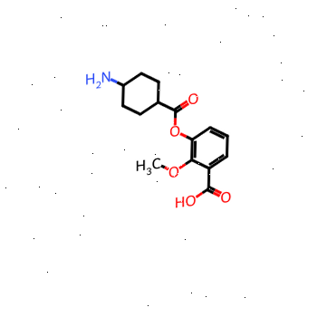 COc1c(OC(=O)C2CCC(N)CC2)cccc1C(=O)O